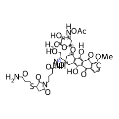 COc1cccc2c1C(=O)c1c(O)c3c(c(O)c1C2=O)C[C@@](O)(/C(CO)=N\NC(=O)CCCN1C(=O)CC(SCCC(N)=O)C1=O)C[C@@H]3O[C@H]1C[C@H](NOC(C)=O)[C@H](O)[C@H](C)O1